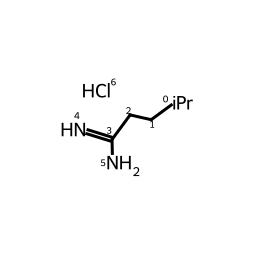 CC(C)CCC(=N)N.Cl